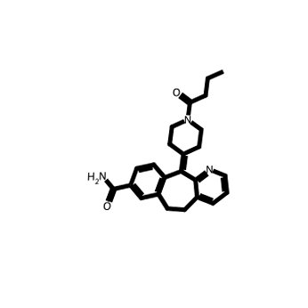 CCCC(=O)N1CCC(=C2c3ccc(C(N)=O)cc3CCc3cccnc32)CC1